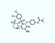 CN(C)C(=O)Oc1ccc(C[C@@H](C(=O)OC(C)(C)C)N(C(=O)C2CS(=O)(=O)CCN2)S(=O)(=O)c2ccc(Cl)c(Cl)c2)cc1